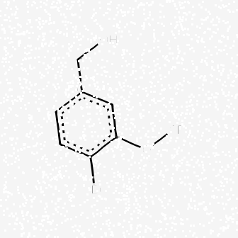 CCc1ccc([CH]O)cc1OC(F)(F)F